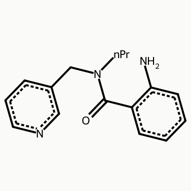 CCCN(Cc1cccnc1)C(=O)c1ccccc1N